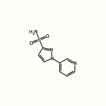 NS(=O)(=O)c1ccn(-c2cccnc2)n1